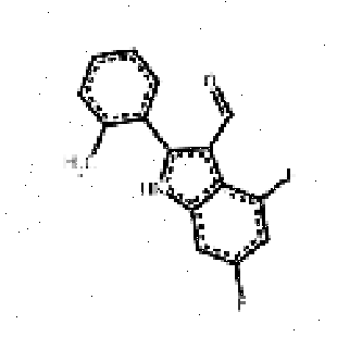 Cc1ccccc1-c1[nH]c2cc(F)cc(F)c2c1C=O